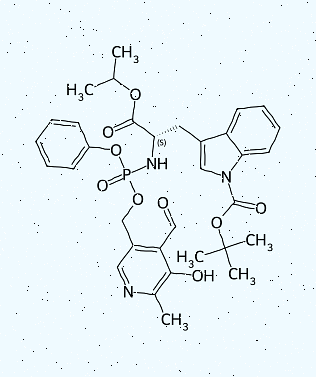 Cc1ncc(COP(=O)(N[C@@H](Cc2cn(C(=O)OC(C)(C)C)c3ccccc23)C(=O)OC(C)C)Oc2ccccc2)c(C=O)c1O